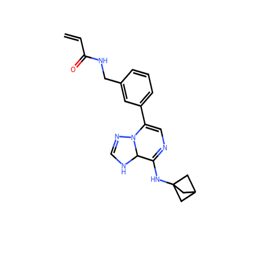 C=CC(=O)NCc1cccc(C2=CN=C(NC34CC(C3)C4)C3NC=NN23)c1